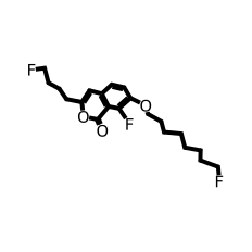 O=c1oc(CCCCF)cc2ccc(OCCCCCCCCF)c(F)c12